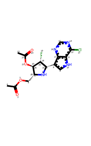 CC(=O)OC[C@H]1N[C@@H](c2c[nH]c3c(Cl)ncnc23)[C@@H](F)[C@@H]1OC(C)=O